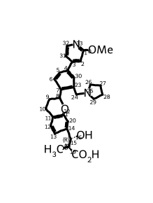 COc1cc(-c2ccc(C3CCc4ccc([C@H](O)[C@H](C)C(=O)O)cc4O3)c(CN3CCCC3)c2)ccn1